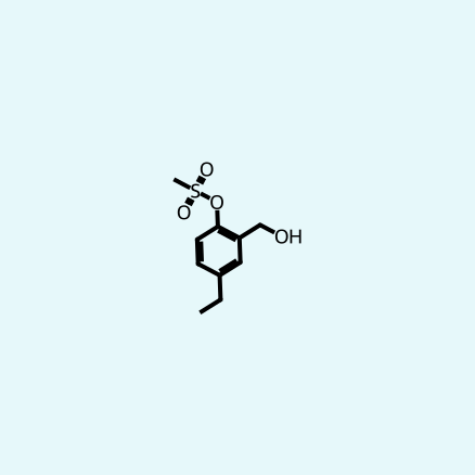 CCc1ccc(OS(C)(=O)=O)c(CO)c1